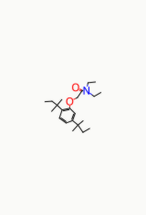 CCN(CC)C(=O)COc1cc(C(C)(C)CC)ccc1C(C)(C)CC